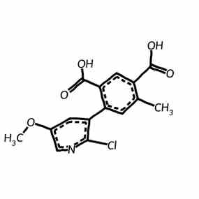 COc1cnc(Cl)c(-c2cc(C)c(C(=O)O)cc2C(=O)O)c1